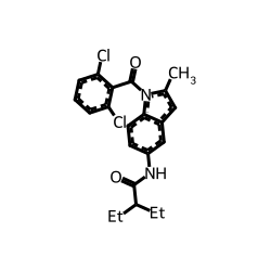 CCC(CC)C(=O)Nc1ccc2c(c1)cc(C)n2C(=O)c1c(Cl)cccc1Cl